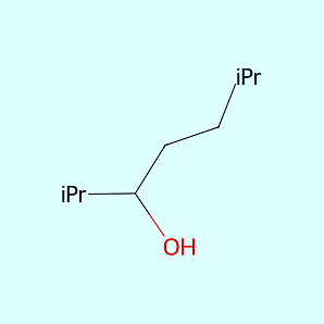 CC(C)CCC(O)C(C)C